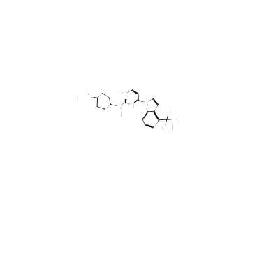 CC(C)(O)c1cccc2c1ccn2-c1ccnc(NC2CCC(N)CC2)n1